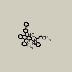 C#C/C(=C\C=C/C)n1c(-c2ccc3c(-c4ccc(-c5ccccc5)cc4)c4ccccc4c(C4C=CC=CC4C)c3c2)nc2ccccc21